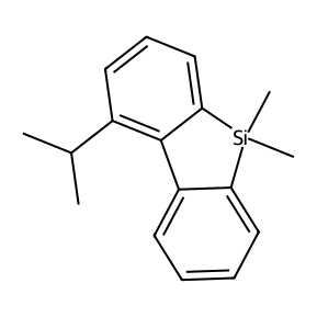 CC(C)c1cccc2c1-c1ccccc1[Si]2(C)C